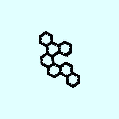 c1ccc2c(c1)ccc1c2ccc2ccc3c4ccccc4c4ccc5ccccc5c4c3c21